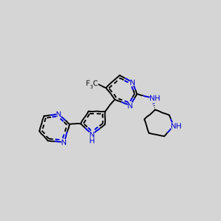 FC(F)(F)c1cnc(N[C@H]2CCCNC2)nc1-c1c[nH]c(-c2ncccn2)c1